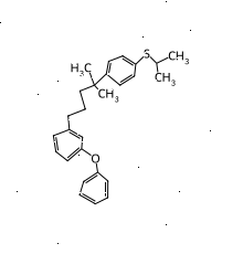 CC(C)Sc1ccc(C(C)(C)CCCc2cccc(Oc3ccccc3)c2)cc1